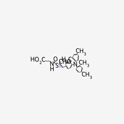 Cc1ccc(N(c2ccc(/C=C(\C=O)SC(=O)NCCC(=O)O)cc2)c2ccc(C)cc2C)c(C)c1